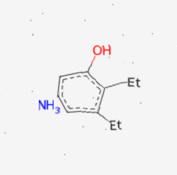 CCc1cccc(O)c1CC.N